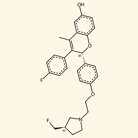 CC1=C(c2ccc(F)cc2)[C@@H](c2ccc(OCCN3CC[C@@H](CF)C3)cc2)Oc2ccc(O)cc21